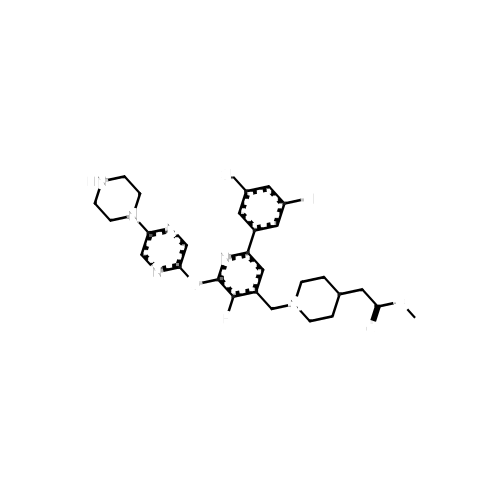 COC(=O)CC1CCN(Cc2cc(-c3cc(Cl)cc(Cl)c3)nc(Oc3cnc(N4CCNCC4)cn3)c2F)CC1